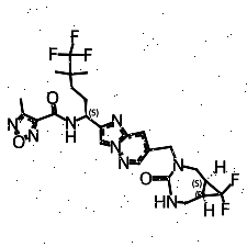 Cc1nonc1C(=O)N[C@@H](CCC(C)(C)C(F)(F)F)c1cn2ncc(CN3C[C@@H]4[C@H](CNC3=O)C4(F)F)cc2n1